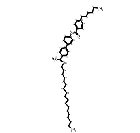 CCCCCCCCCCCCCCCCCCOC(C)c1ccc(-c2ccc(OC(=O)c3ccc(CCCCCC)cc3)cc2)cc1